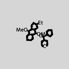 CCc1ccc2c(OC)c3ccccc3c(OC)c2c1.O=C(c1ccccc1)c1ccccc1